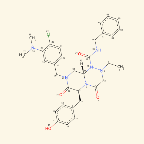 CCN1CC(=O)N2[C@@H](Cc3ccc(O)cc3)C(=O)N(Cc3ccc(Cl)c(N(C)C)c3)C[C@@H]2N1C(=O)NCc1ccccc1